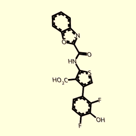 O=C(Nc1scc(-c2ccc(F)c(O)c2F)c1C(=O)O)c1nc2ccccc2o1